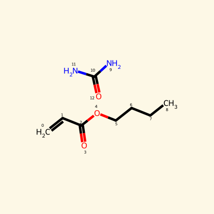 C=CC(=O)OCCCC.NC(N)=O